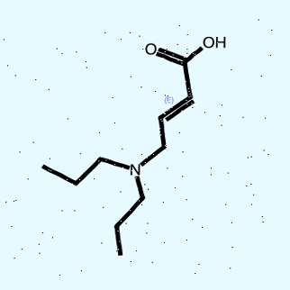 CCCN(C/C=C/C(=O)O)CCC